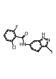 O=C(Nc1ccc2c(I)n[nH]c2c1)c1c(F)cccc1Cl